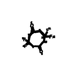 O=C1CC(F)(F)CC(=O)CC(F)(F)C1